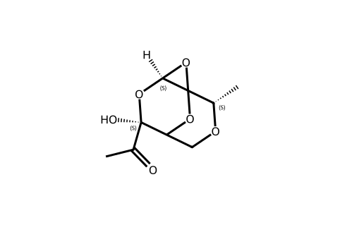 CC(=O)[C@@]1(O)O[C@H]2OC23OC1CO[C@H]3C